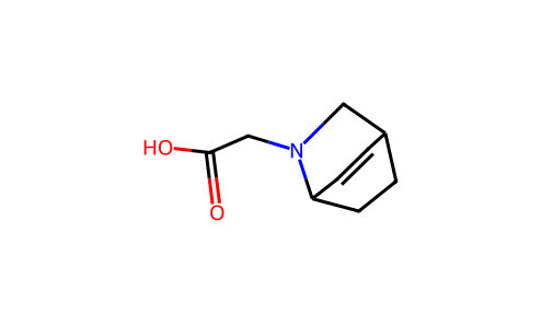 O=C(O)CN1CC2C=CC1CC2